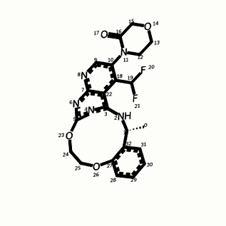 C[C@H]1Nc2nc(nc3ncc(N4CCOCC4=O)c(C(F)F)c23)OCCOc2ccccc21